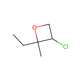 CCC1(C)OCC1Cl